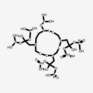 O=[PH](O)OC(O)(CN1CCCN(CC(O)(OP(O)O)OP(O)O)CCN(OP(O)O)CCCN(CC(O)(O[PH](=O)O)O[PH](=O)O)CC1)O[PH](=O)O